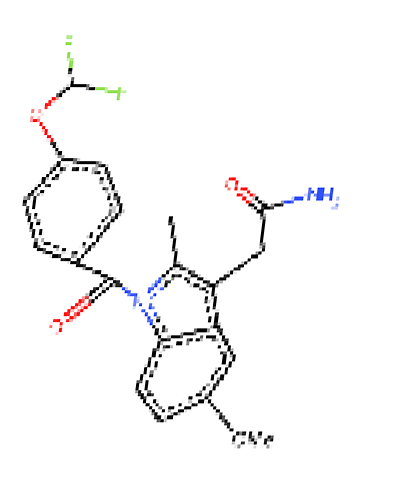 COc1ccc2c(c1)c(CC(N)=O)c(C)n2C(=O)c1ccc(OC(F)F)cc1